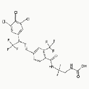 CC(C)(CNC(=O)O)NC(=O)c1ccc(C=CC(c2cc(Cl)c(Cl)c(Cl)c2)C(F)(F)F)cc1C(F)(F)F